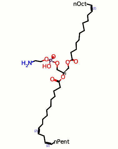 CCCCC/C=C\C/C=C\CCCCCCCCCC(=O)O[C@H](COC(=O)CCCCCCCCC/C=C\CCCCCCCC)COP(=O)(O)OCCN